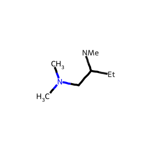 CCC(CN(C)C)NC